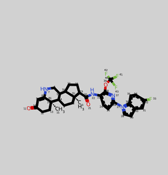 C[C@]12CCC3C(CNC4=CC(=O)CC[C@@]43C)C1CCC2C(=O)Nc1ccc(-n2ccc3cc(F)ccc32)nc1OC(F)(F)F